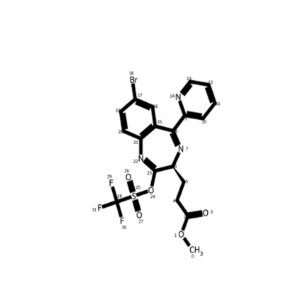 COC(=O)CC[C@@H]1N=C(c2ccccn2)c2cc(Br)ccc2N=C1OS(=O)(=O)C(F)(F)F